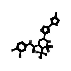 [2H]C([2H])([2H])N1[C@@H](C(=O)Nc2ccc(F)c(Cl)c2)C[C@@H](c2ncc(-c3cn(C)cn3)s2)NS1(=O)=O